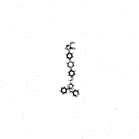 CCC(C)n1cnn(-c2ccc(N3CCN(c4ccc(OC[C@@H]5CO[C@](Cc6ccnnc6)(c6ccccc6)O5)cc4)CC3)cc2)c1=O